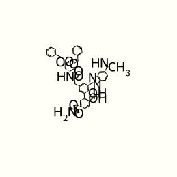 CC(=N)c1ccc2[nH]c(-c3cc(CC(=O)N[C@H](CC(=O)OCc4ccccc4)C(=O)OCc4ccccc4)cc(-c4cc(S(N)(=O)=O)ccc4O)c3O)nc2c1